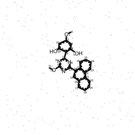 COc1cc(O)c(-c2nc(OC)nc(-c3cc4ccccc4c4ccccc34)n2)c(O)c1